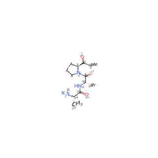 CNC(=O)[C@@H]1CCCN1C(=O)[C@@H](NC(=O)[C@H](C)N)C(C)C